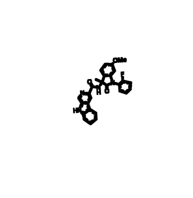 COc1ccc2c(c1)N(c1ccccc1F)C(=O)C2(C)NC(=O)c1cc2c(cn1)[nH]c1ccccc12